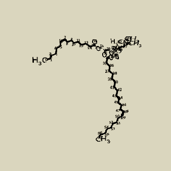 CCCCCC/C=C\CCCCCCCC(=O)OC[C@H](COP(=O)(O)OCC[N+](C)(C)C)OC(=O)CCCCCCCCCCCCC/C=C\CCCCCCCC